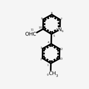 Cc1ccc(-c2ncccc2C=O)cc1